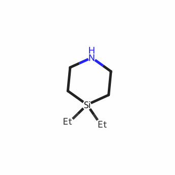 CC[Si]1(CC)CCNCC1